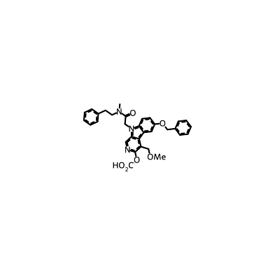 COCc1c(OC(=O)O)ncc2c1c1cc(OCc3ccccc3)ccc1n2CC(=O)N(C)CCc1ccccc1